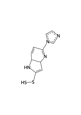 SSC1=CC2N=C(n3ccnc3)C=CC2N1